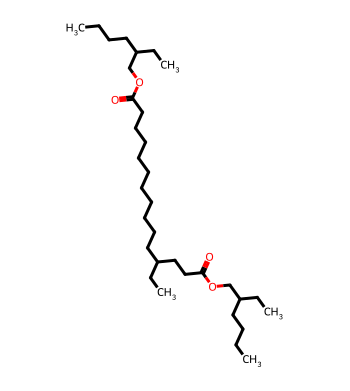 CCCCC(CC)COC(=O)CCCCCCCCCCC(CC)CCC(=O)OCC(CC)CCCC